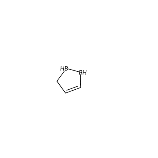 B1BCC=C1